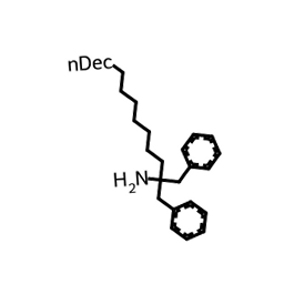 CCCCCCCCCCCCCCCCCC(N)(Cc1ccccc1)Cc1ccccc1